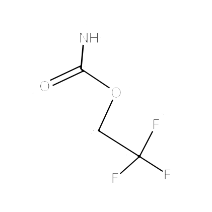 [NH]C(=O)OCC(F)(F)F